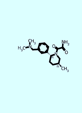 C[C@H]1CC[C@H](c2cccc(CN(C)C)c2)N(C(=O)C(N)=O)C1